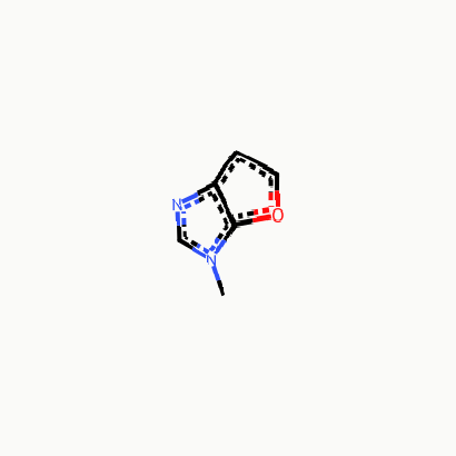 Cn1cnc2ccoc21